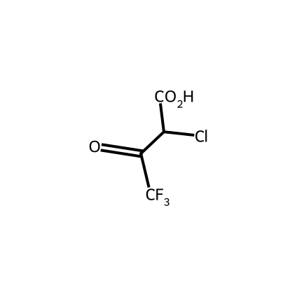 O=C(O)C(Cl)C(=O)C(F)(F)F